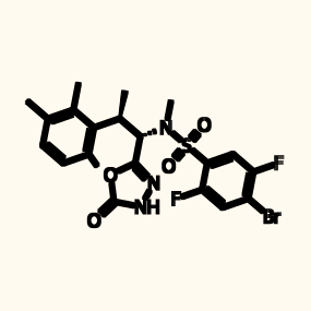 Cc1ccc(C)c([C@@H](C)[C@@H](c2n[nH]c(=O)o2)N(C)S(=O)(=O)c2cc(F)c(Br)cc2F)c1C